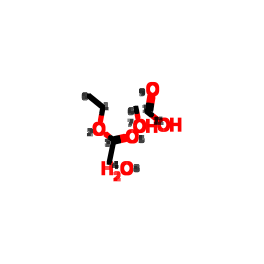 CCOC(C)=O.CO.O.O=CO